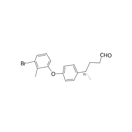 Cc1c(Br)cccc1Oc1ccc([C@@H](C)CCC=O)cc1